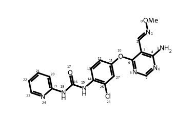 CO/N=C/c1c(N)ncnc1Oc1ccc(NC(=O)Nc2ccccn2)c(Cl)c1